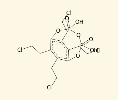 O=P1(O)Oc2c(CCCl)c(CCCl)c(c(CCCl)c2CCCl)OP(=O)(O)O1